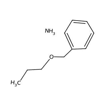 CCCOCc1ccccc1.N